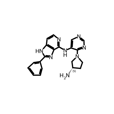 N[C@H]1CCN(c2ncncc2Nc2nccc3[nH]c(-c4ccccc4)nc23)C1